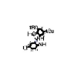 CC(C)(C)c1cc(N/N=C2/C=C(Cl)C=CC2=N)c(O)c(C(C)(C)C)c1